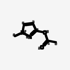 CC(=O)Oc1ccn(C)n1